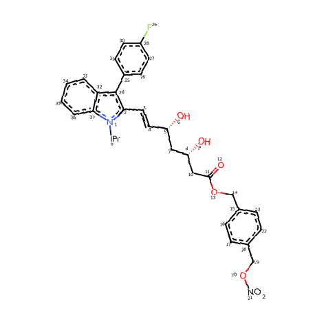 CC(C)n1c(/C=C/[C@H](O)C[C@H](O)CC(=O)OCc2ccc(CO[N+](=O)[O-])cc2)c(-c2ccc(F)cc2)c2ccccc21